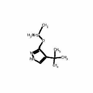 C[SiH](C)Oc1n[nH]cc1C(C)(C)C